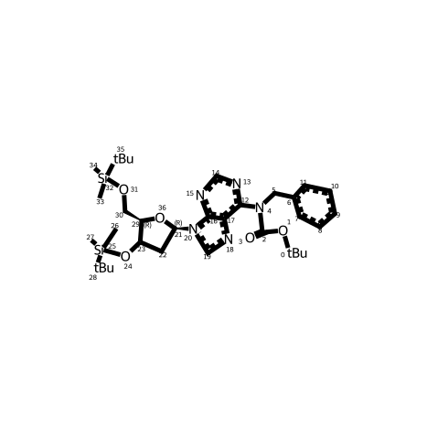 CC(C)(C)OC(=O)N(Cc1ccccc1)c1ncnc2c1ncn2[C@H]1CC(O[Si](C)(C)C(C)(C)C)[C@@H](CO[Si](C)(C)C(C)(C)C)O1